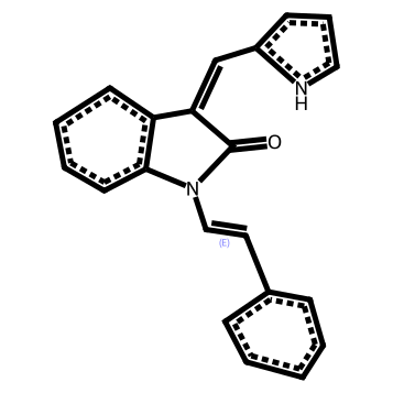 O=C1C(=Cc2ccc[nH]2)c2ccccc2N1/C=C/c1ccccc1